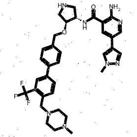 CN1CCN(Cc2ccc(-c3ccc(CO[C@H]4CNC[C@@H]4NC(=O)c4cc(-c5cnn(C)c5)cnc4N)cc3)cc2C(F)(F)F)CC1